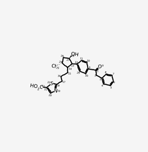 O=C(Cc1ccccc1)c1ccc(C2C(CCCc3ncc(C(=O)O)s3)[C@H](Cl)C[C@H]2O)cc1